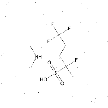 CNC.O=S(=O)(O)C(F)(F)CCC(F)(F)F